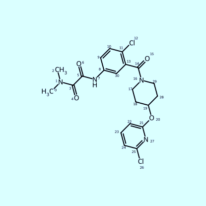 CN(C)C(=O)C(=O)Nc1ccc(Cl)c(C(=O)N2CCC(Oc3cccc(Cl)n3)CC2)c1